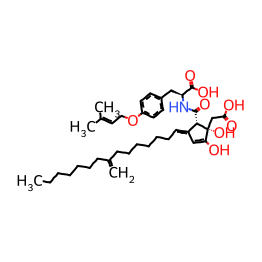 C=C(CCCCCCC)CCCCCCC=C1C=C(O)[C@](O)(CC(=O)O)[C@H]1C(=O)N[C@@H](Cc1ccc(OCC=C(C)C)cc1)C(=O)O